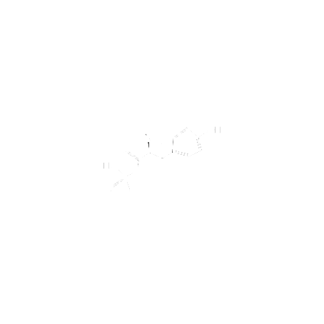 N[C@@H](Cc1ccc(O)cc1)C(=O)OP(O)(O)=S